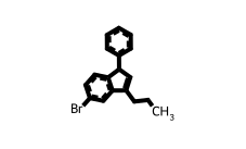 CCCC1=CC(c2ccccc2)c2ccc(Br)cc21